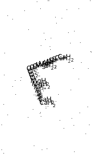 [Al+3].[Al+3].[Al+3].[Al+3].[CaH2].[CaH2].[CaH2].[CaH2].[MgH2].[MgH2].[MgH2].[MgH2].[O-2].[O-2].[O-2].[O-2].[O-2].[O-2].[Si].[Si].[Si].[Si]